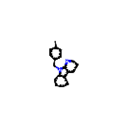 Cc1ccc(Cn2c3ccccc3c3cccnc32)cc1